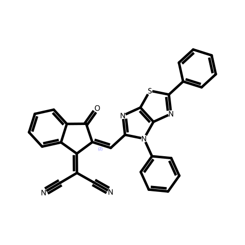 N#CC(C#N)=C1/C(=C/c2nc3sc(-c4ccccc4)nc3n2-c2ccccc2)C(=O)c2ccccc21